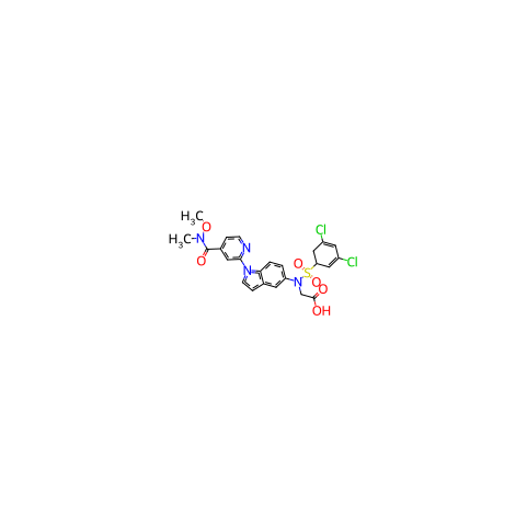 CON(C)C(=O)c1ccnc(-n2ccc3cc(N(CC(=O)O)S(=O)(=O)C4C=C(Cl)C=C(Cl)C4)ccc32)c1